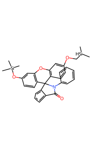 C[SiH](C)COc1ccc2c(c1)Oc1cc(O[Si](C)(C)C)ccc1C21c2ccccc2C(=O)N1c1ccccc1